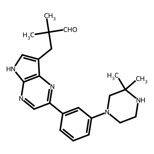 CC(C)(C=O)Cc1c[nH]c2ncc(-c3cccc(N4CCNC(C)(C)C4)c3)nc12